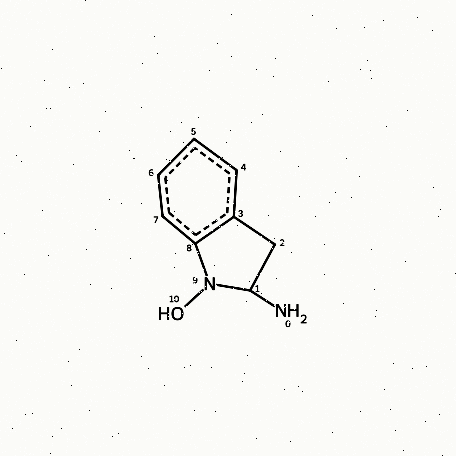 NC1Cc2ccccc2N1O